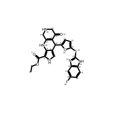 CCOC(=O)c1[nH]cc2c1NC1=C(C(=O)CNC1)C2c1ccc(Sc2nc3cc(F)ccc3[nH]2)o1